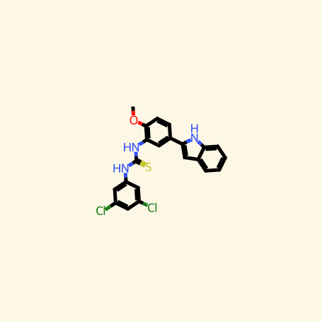 COc1ccc(-c2cc3ccccc3[nH]2)cc1NC(=S)Nc1cc(Cl)cc(Cl)c1